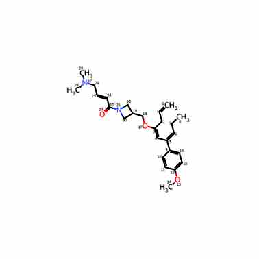 C=CC/C(=C\C(=C/CC)c1ccc(OC)cc1)OCC1CN(C(=O)/C=C/CN(C)C)C1